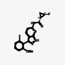 COc1cccc(F)c1-c1n[nH]c2nc(NC(=O)[C@@H]3C[C@@H]3F)ccc12